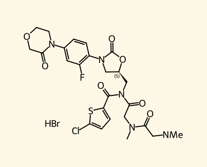 Br.CNCC(=O)N(C)CC(=O)N(C[C@H]1CN(c2ccc(N3CCOCC3=O)cc2F)C(=O)O1)C(=O)c1ccc(Cl)s1